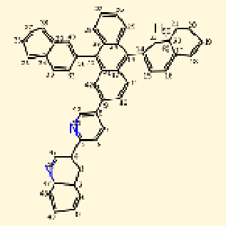 C1=CC2CC(c3ccc(-c4ccc5c(C6=CC=C7C=CCC[C@@H]7C6)c6ccccc6c(-c6ccc7ccccc7c6)c5c4)cn3)C=NC2C=C1